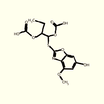 CCC(OC(=O)O)C(OC(=O)O)Sc1nc2c(OC)cc(O)cc2o1